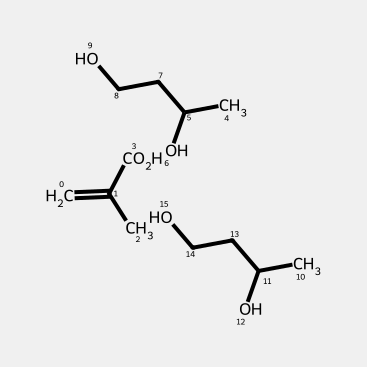 C=C(C)C(=O)O.CC(O)CCO.CC(O)CCO